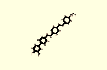 CCCC1CCC(CCC2CCC(CCc3ccc(-c4ccc(F)c(F)c4)cc3)CC2)CC1